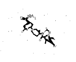 Cc1[nH]c(C(=O)N(C(=O)F)C2CCN(c3cc(C(N)=O)cc(Cl)n3)CC2)c(C)c1Cl